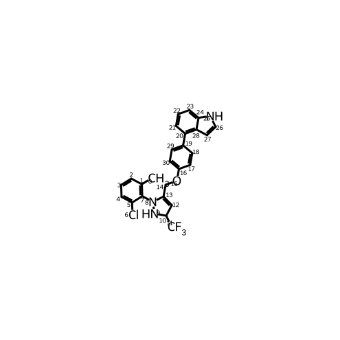 Cc1cccc(Cl)c1N1NC(C(F)(F)F)C=C1COc1ccc(-c2cccc3[nH]ccc23)cc1